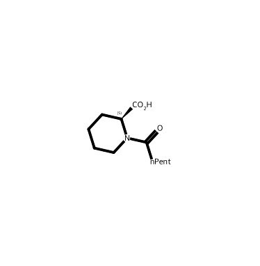 CCCCCC(=O)N1CCCC[C@H]1C(=O)O